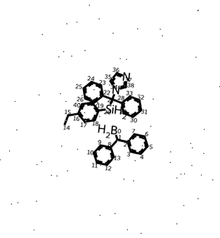 BC(c1ccccc1)c1ccccc1.CCc1ccc([SiH2]C(c2ccccc2)(c2ccccc2)n2ccnc2)cc1